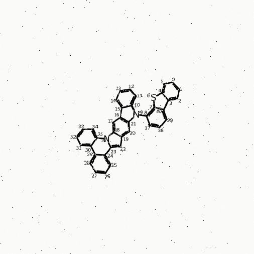 c1ccc2c(c1)sc1c(-n3c4ccccc4c4cc5c(cc43)cc3c4ccccc4c4ccccc4n53)cccc12